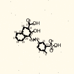 Cc1ccc(/N=N/c2c(O)c(C(=O)O)cc3ccccc23)cc1S(=O)(=O)O